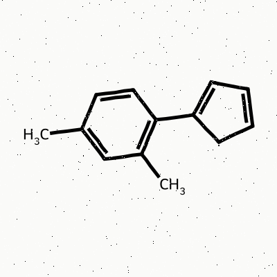 Cc1ccc(C2=CC=C[CH]2)c(C)c1